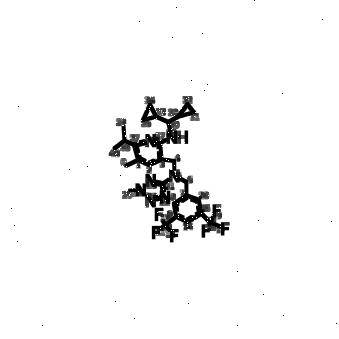 Cc1cc(CN(Cc2cc(C(F)(F)F)cc(C(F)(F)F)c2)c2nnn(C)n2)c(NC(C2CC2)C2CC2)nc1C(C)C